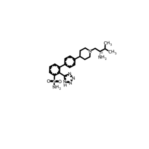 CC(C)[C@H](N)CN1CCC(c2ccc(-c3cccc(S(N)(=O)=O)c3-c3nnn[nH]3)cc2)CC1